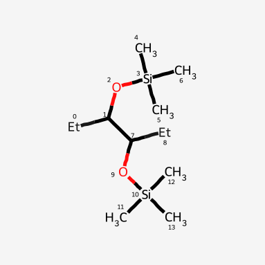 CCC(O[Si](C)(C)C)C(CC)O[Si](C)(C)C